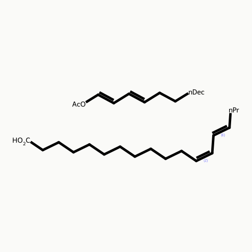 CCC/C=C/C=C\CCCCCCCCCCC(=O)O.CCCCCCCCCCCCC=CC=COC(C)=O